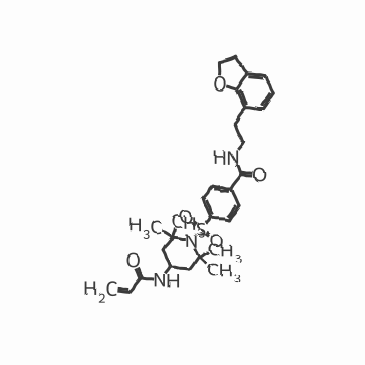 C=CC(=O)NC1CC(C)(C)N(S(=O)(=O)c2ccc(C(=O)NCCc3cccc4c3OCC4)cc2)C(C)(C)C1